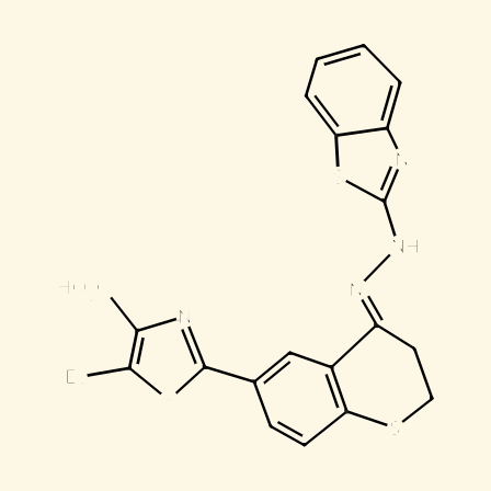 CCc1sc(-c2ccc3c(c2)/C(=N/Nc2nc4ccccc4s2)CCS3)nc1C(=O)O